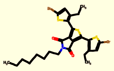 CCCCCCCCN1C(=O)c2c(-c3sc(Br)cc3CC)sc(-c3sc(Br)cc3CC)c2C1=O